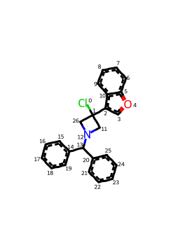 ClC1(c2coc3ccccc23)CN(C(c2ccccc2)c2ccccc2)C1